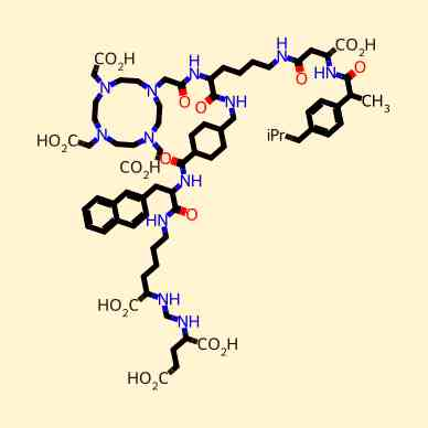 CC(C)Cc1ccc(C(C)C(=O)NC(CC(=O)NCCCCC(NC(=O)CN2CCN(CC(=O)O)CCN(CC(=O)O)CCN(CC(=O)O)CC2)C(=O)NCC2CCC(C(=O)NC(Cc3ccc4ccccc4c3)C(=O)NCCCCC(NCNC(CCC(=O)O)C(=O)O)C(=O)O)CC2)C(=O)O)cc1